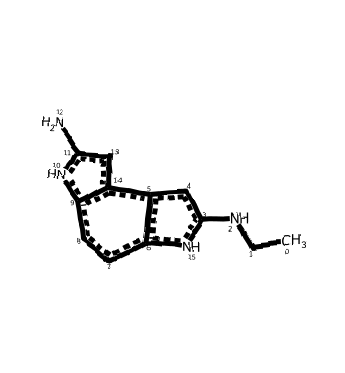 CCNc1cc2c(ccc3[nH]c(N)cc32)[nH]1